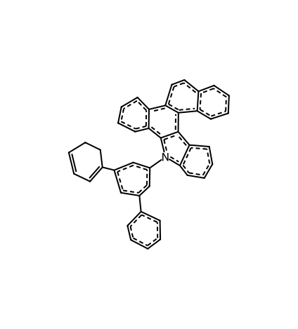 C1=CCCC(c2cc(-c3ccccc3)cc(-n3c4ccccc4c4c5c6ccccc6ccc5c5ccccc5c43)c2)=C1